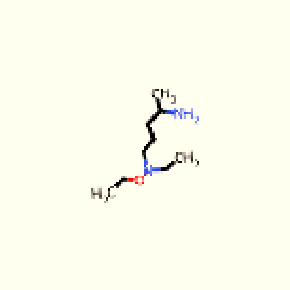 CCON(CC)CCCC(C)N